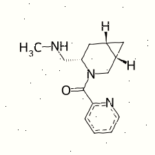 CNC[C@@H]1C[C@@H]2C[C@@H]2CN1C(=O)c1ccccn1